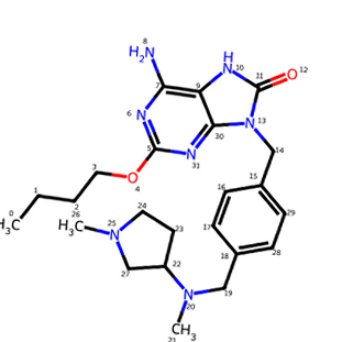 CCCCOc1nc(N)c2[nH]c(=O)n(Cc3ccc(CN(C)C4CCN(C)C4)cc3)c2n1